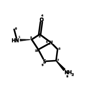 CN[C@@H]1C(=O)N2C[C@@H](N)SC12